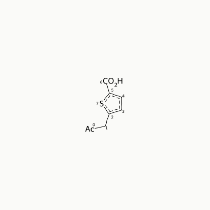 CC(=O)Cc1ccc(C(=O)O)s1